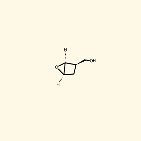 OC[C@H]1C[C@H]2O[C@@H]12